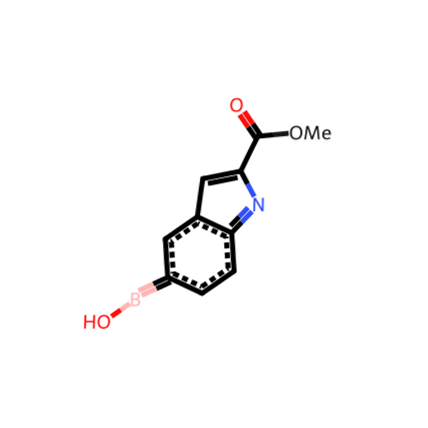 COC(=O)C1=Cc2c/c(=B/O)ccc2=N1